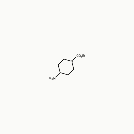 CCOC(=O)N1CCC(NC)CC1